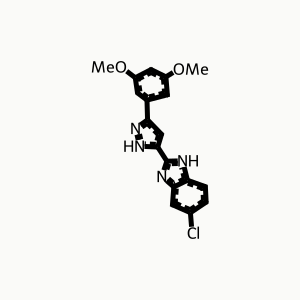 COc1cc(OC)cc(-c2cc(-c3nc4cc(Cl)ccc4[nH]3)[nH]n2)c1